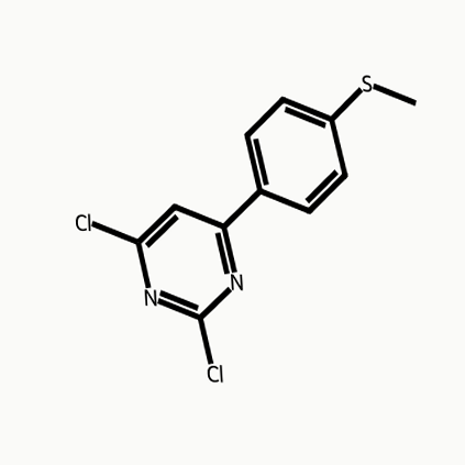 CSc1ccc(-c2cc(Cl)nc(Cl)n2)cc1